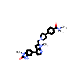 CN(C)C(=O)c1ccc(C2CCN(Cc3cc4c(-c5ccc6c(c5)[nH]c(=O)n6C)ccnc4n3C)CC2)cc1